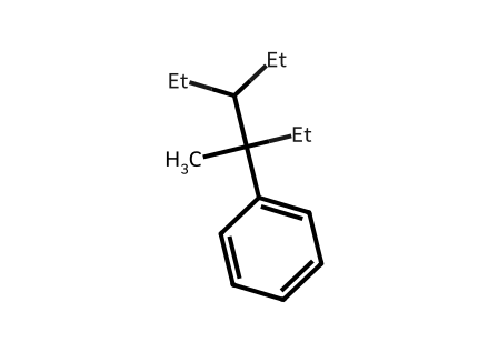 CCC(CC)C(C)(CC)c1ccccc1